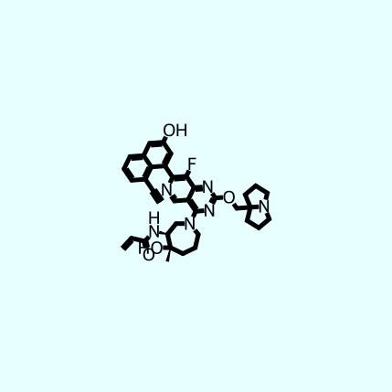 C#Cc1cccc2cc(O)cc(-c3ncc4c(N5CCC[C@](C)(O)[C@@H](NC(=O)C=C)C5)nc(OCC56CCCN5CCC6)nc4c3F)c12